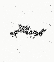 COc1cc(N2CCC(n3ccc(C(=O)N[C@H](C(=O)N4C[C@@H](O)C[C@@H]4C(=O)NCc4ccc(-c5scnc5C)cc4)C(C)(C)C)n3)CC2)ccc1NC(=O)c1cccc(-c2cc[nH]n2)n1